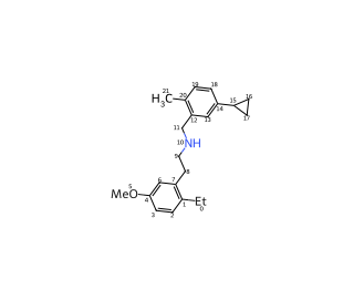 CCc1ccc(OC)cc1CCNCc1cc(C2CC2)ccc1C